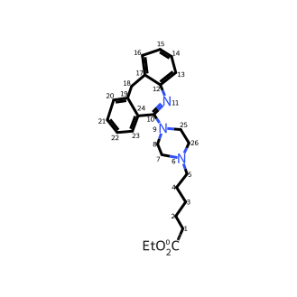 CCOC(=O)CCCCCN1CCN(C2=Nc3ccccc3Cc3ccccc32)CC1